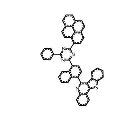 c1ccc(-c2nc(-c3ccc(-c4nc5ccccc5c5sc6ccccc6c45)c4ccccc34)nc(-c3ccc4ccc5cccc6ccc3c4c56)n2)cc1